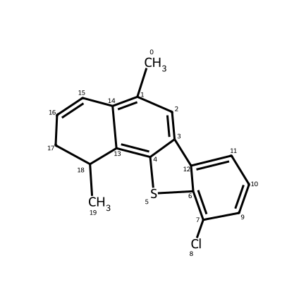 Cc1cc2c(sc3c(Cl)cccc32)c2c1C=CCC2C